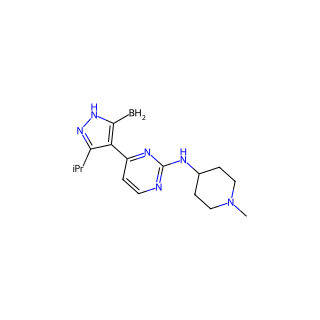 Bc1[nH]nc(C(C)C)c1-c1ccnc(NC2CCN(C)CC2)n1